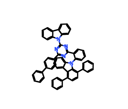 c1ccc(-c2ccc(-c3nc(-c4ccccc4-n4c5ccccc5c5c(-c6ccccc6)ccc(-c6ccccc6)c54)nc(-n4c5ccccc5c5ccccc54)n3)cc2)cc1